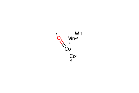 [Co].[Mn].[Mn].[O]=[Co]